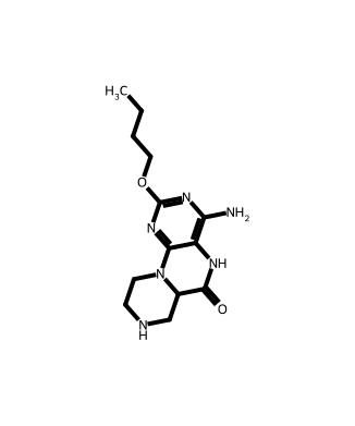 CCCCOc1nc(N)c2c(n1)N1CCNCC1C(=O)N2